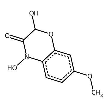 COc1ccc2c(c1)OC(O)C(=O)N2O